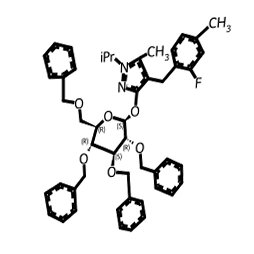 Cc1ccc(Cc2c(O[C@@H]3O[C@H](COCc4ccccc4)[C@@H](OCc4ccccc4)[C@H](OCc4ccccc4)[C@H]3OCc3ccccc3)nn(C(C)C)c2C)c(F)c1